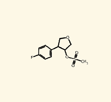 CS(=O)(=O)OC1COCC1c1ccc(F)cc1